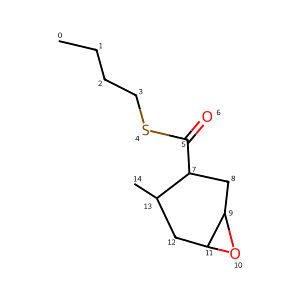 CCCCSC(=O)C1CC2OC2CC1C